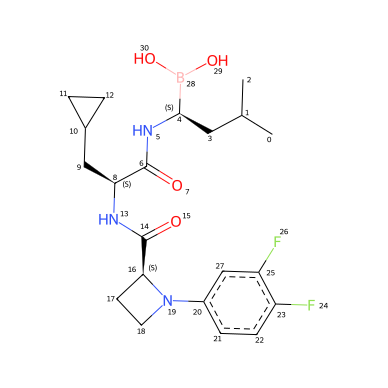 CC(C)C[C@@H](NC(=O)[C@H](CC1CC1)NC(=O)[C@@H]1CCN1c1ccc(F)c(F)c1)B(O)O